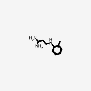 Cc1ccccc1NCCC(N)N